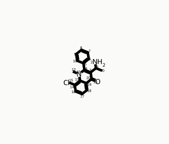 CC(N)c1c(-c2ccccc2)n(C)c2c(Cl)cccc2c1=O